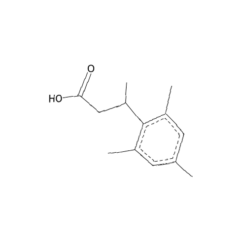 Cc1cc(C)c(C(C)CC(=O)O)c(C)c1